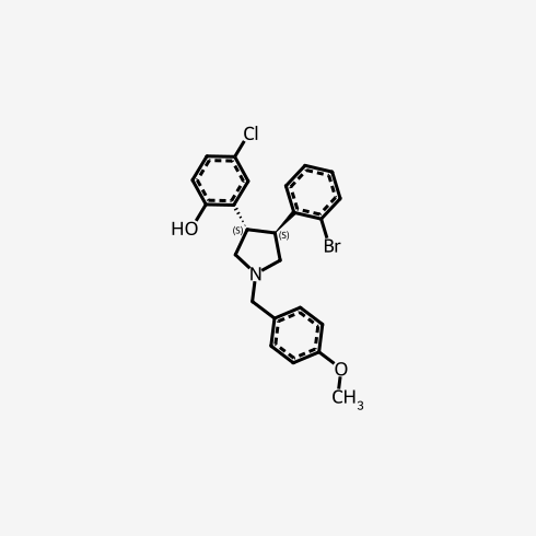 COc1ccc(CN2C[C@H](c3cc(Cl)ccc3O)[C@@H](c3ccccc3Br)C2)cc1